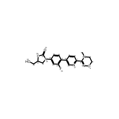 CN1CCON=C1c1ccc(-c2ccc(N3CC(CO)OC3=O)cc2F)cn1